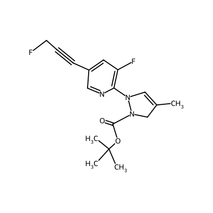 CC1=CN(c2ncc(C#CCF)cc2F)N(C(=O)OC(C)(C)C)C1